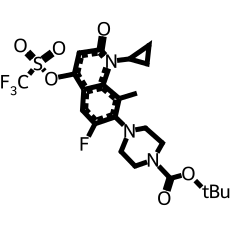 Cc1c(N2CCN(C(=O)OC(C)(C)C)CC2)c(F)cc2c(OS(=O)(=O)C(F)(F)F)cc(=O)n(C3CC3)c12